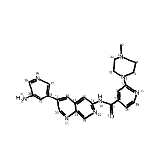 CN1CCN(c2cc(C(=O)Nc3cc4cc(-c5cncc(N)c5)cnc4cn3)ccn2)CC1